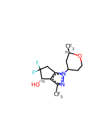 O[C@H]1c2c(C(F)(F)F)nn(C3CCO[C@H](C(F)(F)F)C3)c2CC1(F)F